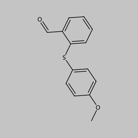 COc1ccc(Sc2ccccc2C=O)cc1